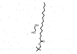 CCCCCCCCCCCCCCCC(=O)OCC(C)(C)C.OCCO